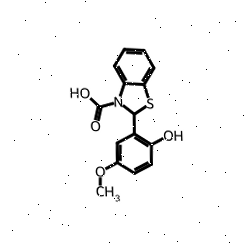 COc1ccc(O)c(C2Sc3ccccc3N2C(=O)O)c1